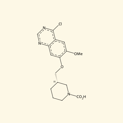 COc1cc2c(Cl)ncnc2cc1OC[C@H]1CCCN(C(=O)O)C1